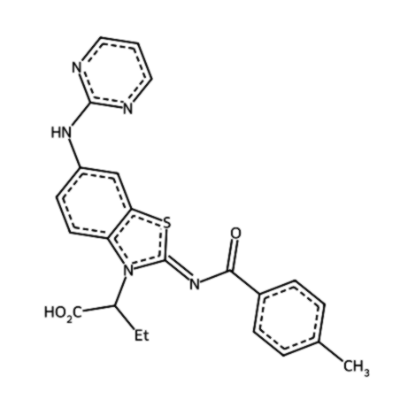 CCC(C(=O)O)n1/c(=N/C(=O)c2ccc(C)cc2)sc2cc(Nc3ncccn3)ccc21